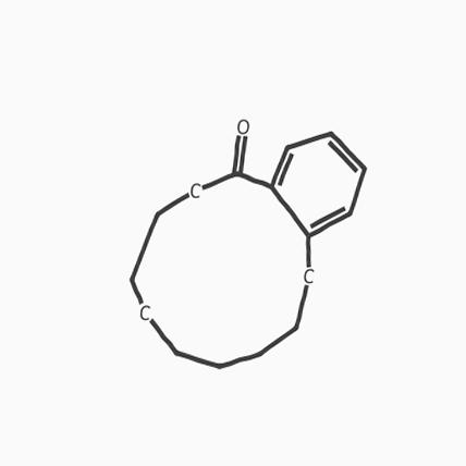 O=C1CCCCCCCCCc2ccccc21